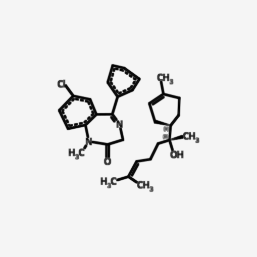 CC(C)=CCC[C@@](C)(O)[C@H]1CC=C(C)CC1.CN1C(=O)CN=C(c2ccccc2)c2cc(Cl)ccc21